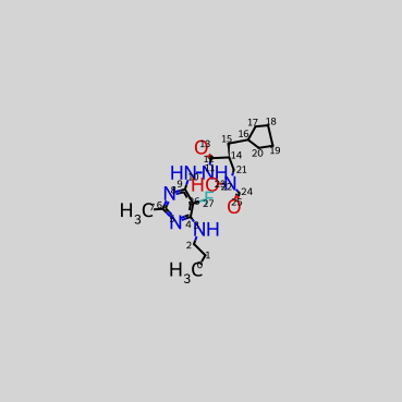 CCCNc1nc(C)nc(NNC(=O)[C@@H](CC2CCCC2)CN(O)C=O)c1F